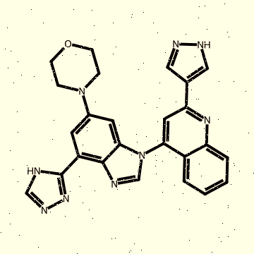 c1ccc2c(-n3cnc4c(-c5nnc[nH]5)cc(N5CCOCC5)cc43)cc(-c3cn[nH]c3)nc2c1